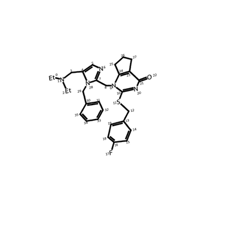 CCN(CC)Cc1cnc(Cn2c(SCc3ccc(F)cc3)nc(=O)c3c2CCC3)n1Cc1ccccc1